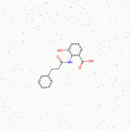 O=C(CCc1ccccc1)Nc1c(O)cccc1C(=O)O